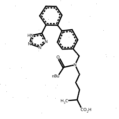 CCCCC(=O)N(CCCC(C)C(=O)O)Cc1ccc(-c2ccccc2-c2nnn[nH]2)cc1